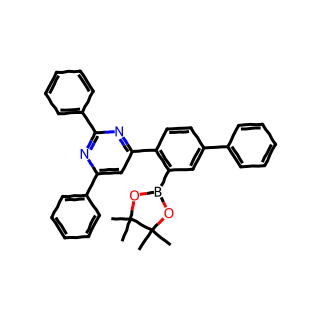 CC1(C)OB(c2cc(-c3ccccc3)ccc2-c2cc(-c3ccccc3)nc(-c3ccccc3)n2)OC1(C)C